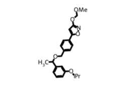 COCOc1cc(-c2ccc(COC(C)c3cccc(OC(C)C)c3)cc2)on1